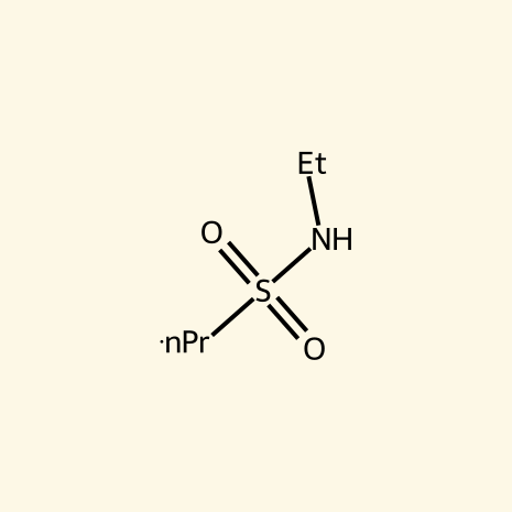 CC[CH]S(=O)(=O)NCC